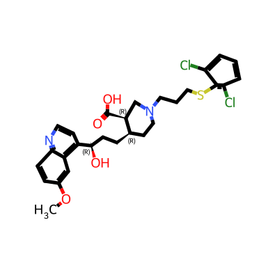 COc1ccc2nccc([C@H](O)CC[C@@H]3CCN(CCCSc4c(Cl)cccc4Cl)C[C@@H]3C(=O)O)c2c1